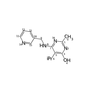 Cc1nc(O)c(C(C)C)c(NCc2cccnc2)n1